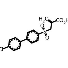 C=C(CS(=O)(=O)c1ccc(-c2ccc(Cl)cc2)cc1)C(=O)O